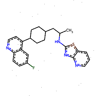 CC(CC1CCC(c2ccnc3ccc(F)cc23)CC1)Nc1nc2ncccc2s1